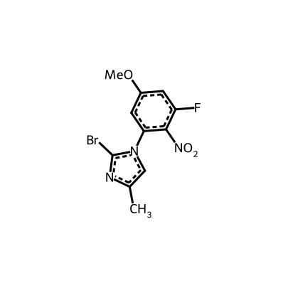 COc1cc(F)c([N+](=O)[O-])c(-n2cc(C)nc2Br)c1